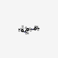 COc1cc(OC(=O)/C=C/c2ccc(OC(C)=O)c(O)c2)ccc1C/C(=C\c1ccc(OC(C)=O)c(O)c1)C(=O)O